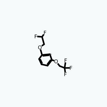 FC(F)COc1[c]c(OCC(F)(F)F)ccc1